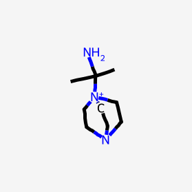 CC(C)(N)[N+]12CCN(CC1)CC2